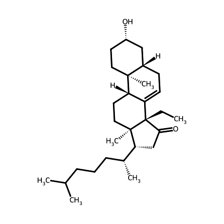 CC[C@@]12C(=O)C[C@H]([C@H](C)CCCC(C)C)[C@@]1(C)CC[C@H]1C2=CC[C@H]2C[C@@H](O)CC[C@@]21C